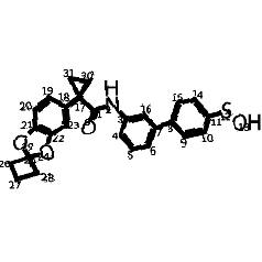 O=C(Nc1cccc(-c2ccc(SO)cc2)c1)C1(c2ccc3c(c2)OC2(CCC2)O3)CC1